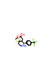 O=C(O)CC1C(c2ccc(C(F)(F)F)cc2)NCCC12SCCS2